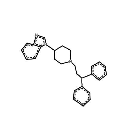 c1ccc(C(CCN2CCC(n3cnc4ccccc43)CC2)c2ccccc2)cc1